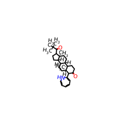 CC(C)(C)C(=O)C1CC[C@H]2[C@@H]3CC[C@H]4C(C5=CC=CC=CN5)C(=O)CC[C@]4(C)[C@H]3CC[C@]12C